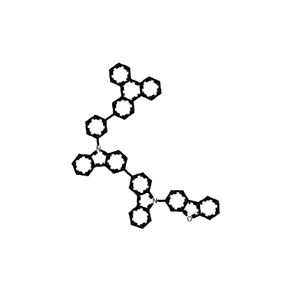 c1cc(-c2ccc3c4ccccc4c4ccccc4c3c2)cc(-n2c3ccccc3c3cc(-c4ccc5c(c4)c4ccccc4n5-c4ccc5c(c4)oc4ccccc45)ccc32)c1